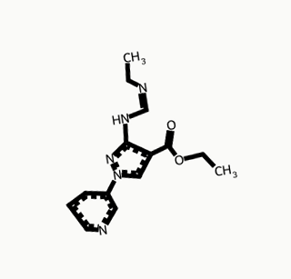 CC/N=C\Nc1nn(-c2cccnc2)cc1C(=O)OCC